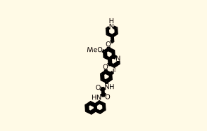 COc1cc2c(Oc3ccc(NC(=O)C(=O)N[C@@H]4CCCc5ccccc54)cc3F)ccnc2cc1OCC1CCNCC1